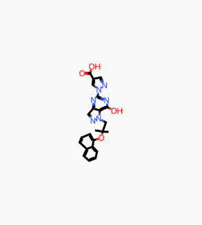 CC(C)(Cn1ncc2nc(-n3cc(C(=O)O)cn3)nc(O)c21)Oc1cccc2ccccc12